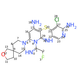 N=C(CF)n1c(N2CCC3(CCOC3)CC2)cc(N)c(Sc2ccnc(N)c2Cl)c1=N